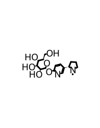 CN1CCC[C@H]1c1ccc(O[C@@H]2O[C@H](CO)[C@H](O)[C@H](O)[C@H]2O)nc1